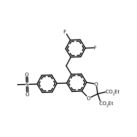 CCOC(=O)C1(C(=O)OCC)Oc2cc(Cc3cc(F)cc(F)c3)c(-c3ccc(S(C)(=O)=O)cc3)cc2O1